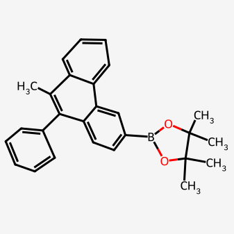 Cc1c(-c2ccccc2)c2ccc(B3OC(C)(C)C(C)(C)O3)cc2c2ccccc12